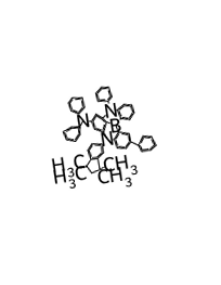 CC1(C)CC(C)(C)c2cc(N3c4ccc(-c5ccccc5)cc4B4c5ccccc5N(c5ccccc5)c5cc(N(c6ccccc6)c6ccccc6)cc3c54)ccc21